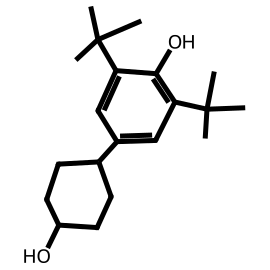 CC(C)(C)c1cc(C2CCC(O)CC2)cc(C(C)(C)C)c1O